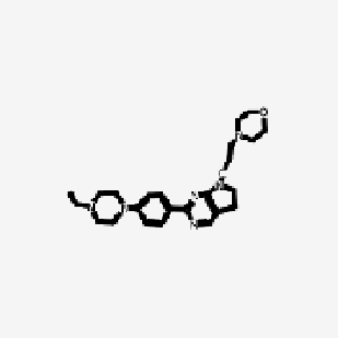 CCN1CCN(c2ccc(-c3ncc4c(n3)N(CCCN3CCOCC3)CC4)cc2)CC1